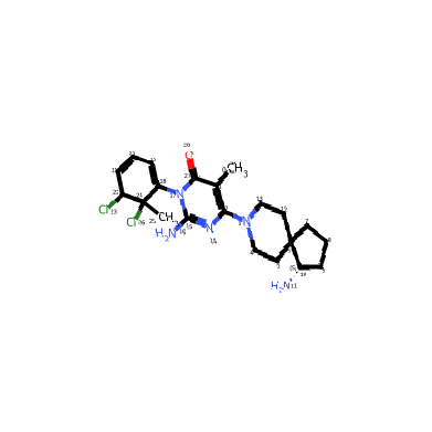 Cc1c(N2CCC3(CCC[C@@H]3N)CC2)nc(N)n(C2=CC=CC(Cl)C2(C)Cl)c1=O